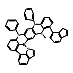 CN1c2cc3c(cc2N(c2ccccc2)c2cccc(-c4cccc5c4CC=C5)c21)N(c1ccccc1)c1cccc2c1B3n1ccc3cccc-2c31